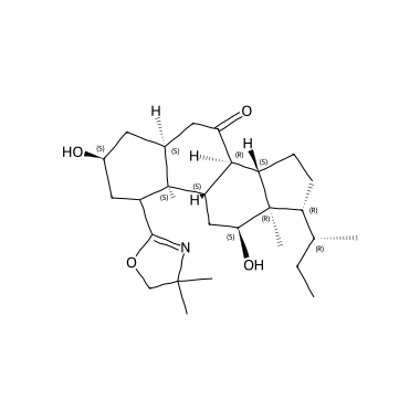 CC[C@@H](C)[C@H]1CC[C@H]2[C@@H]3C(=O)C[C@@H]4C[C@H](O)CC(C5=NC(C)(C)CO5)[C@]4(C)[C@H]3C[C@H](O)[C@]12C